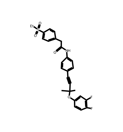 CCS(=O)(=O)c1ccc(CC(=O)Nc2ccc(C#CC(C)(C)Oc3ccc(F)c(F)c3)cc2)cc1